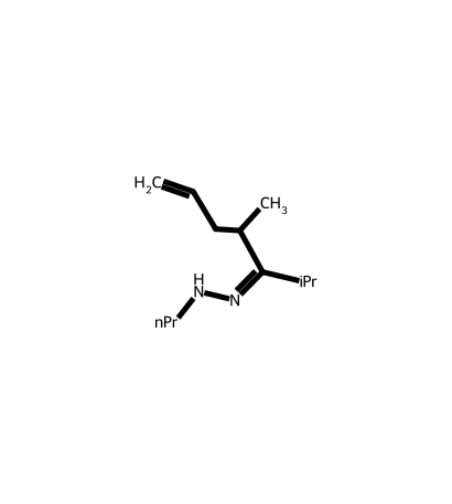 C=CCC(C)/C(=N\NCCC)C(C)C